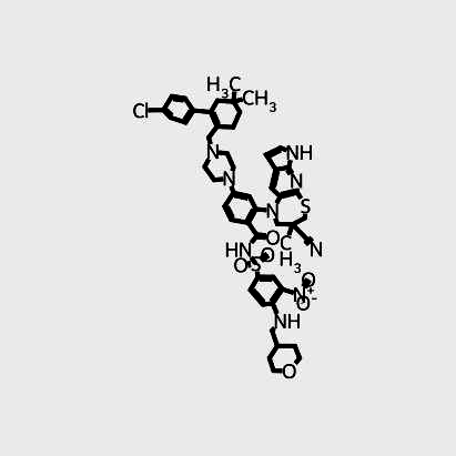 CC1(C)CCC(CN2CCN(c3ccc(C(=O)NS(=O)(=O)c4ccc(NCC5CCOCC5)c([N+](=O)[O-])c4)c(N4CC(C)(C#N)CSc5nc6[nH]ccc6cc54)c3)CC2)=C(c2ccc(Cl)cc2)C1